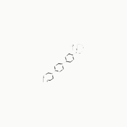 CN1CCCCC1c1ccc(-c2ccc(-c3ccncc3)cc2)cc1